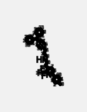 Cc1ccc(-c2ccc(CCNCCCN3CCN(C(c4ccccc4)c4ccccc4)CC3)c(C(F)(F)F)n2)cc1